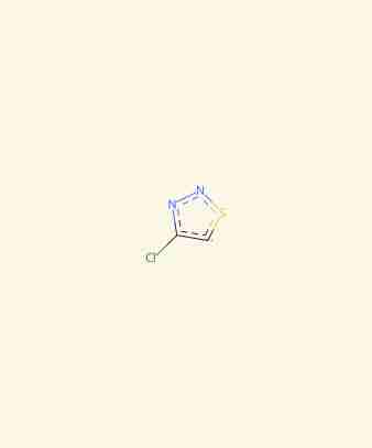 Clc1[c]snn1